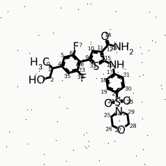 CC(CO)c1cc(F)c(-c2cc(C(N)=O)c(Nc3ccc(S(=O)(=O)N4CCOCC4)cc3)s2)c(F)c1